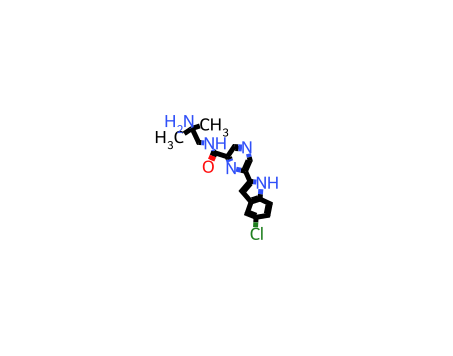 CC(C)(N)CNC(=O)c1cncc(-c2cc3cc(Cl)ccc3[nH]2)n1